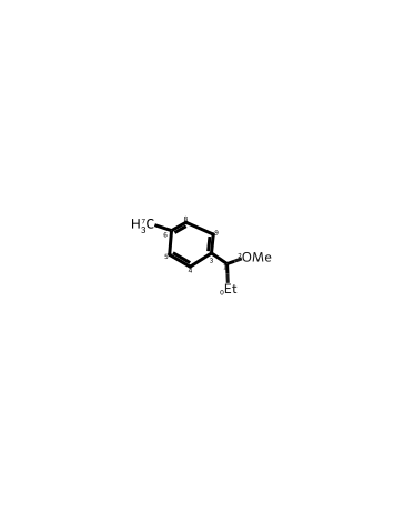 CCC(OC)c1ccc(C)cc1